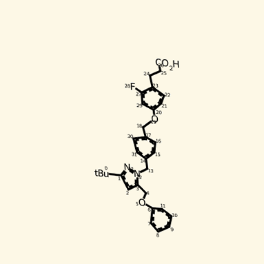 CC(C)(C)c1cc(COc2ccccc2)n(Cc2ccc(COc3ccc(CCC(=O)O)c(F)c3)cc2)n1